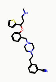 CNCCC(Oc1ccccc1CN1CCN(CCc2cccc(C#N)c2)CC1)c1cccs1